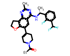 CCC(=O)N1CC=C(c2cc3c(N[C@H](C)c4cccc(C(F)F)c4F)nc(C)nc3c3c2OCC3)CC1